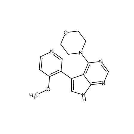 COc1ccncc1-c1c[nH]c2ncnc(N3CCOCC3)c12